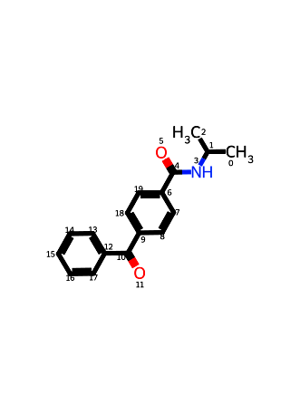 CC(C)NC(=O)c1ccc(C(=O)c2ccccc2)cc1